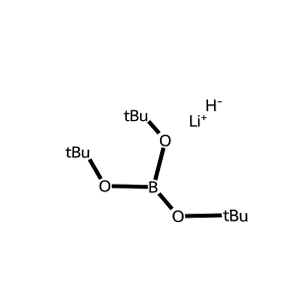 CC(C)(C)OB(OC(C)(C)C)OC(C)(C)C.[H-].[Li+]